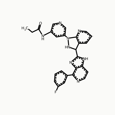 CCC(=O)Nc1cncc(N2NC(c3nc4c(-c5cccc(F)c5)nccc4[nH]3)c3c[c]cnc32)c1